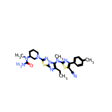 CCc1nc2sc(N3CCCC(N(C)C(N)=O)C3)nn2c1N(C)c1nc(-c2ccc(C)cc2)c(C#N)s1